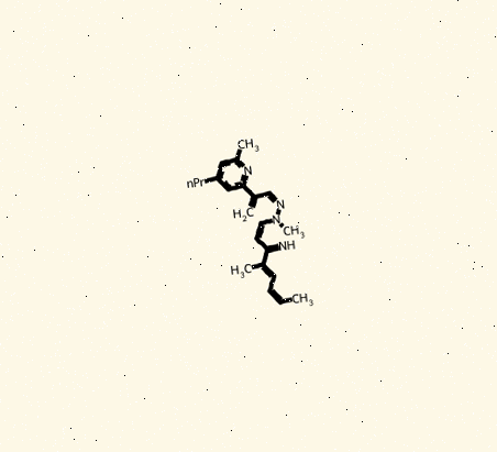 C=C(/C=N\N(C)/C=C\C(=N)/C(C)=C/C=C\C)c1cc(CCC)cc(C)n1